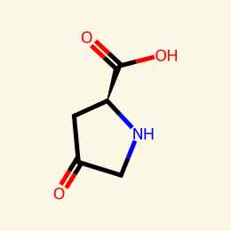 O=C1CN[C@H](C(=O)O)C1